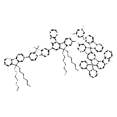 CCCCCCCC1(CCCCCCC)c2ccccc2-c2ccc(-c3ccc4c(c3)C(C)(C)c3cc(-c5cc6c(c7c5oc5ccccc57)-c5ccc(N(c7ccc8c(c7)C7(c9ccccc9-c9ccccc97)c7cc9c(cc7-8)C7(c8ccccc8-c8ccccc87)c7ccc8oc%10ccccc%10c8c7-9)c7c(C)cc(C)cc7C)cc5C6(CCCCCCC)CCCCCCC)ccc3-4)cc21